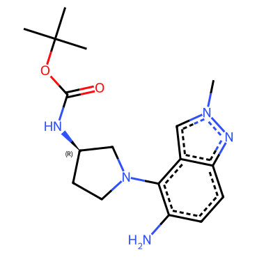 Cn1cc2c(N3CC[C@@H](NC(=O)OC(C)(C)C)C3)c(N)ccc2n1